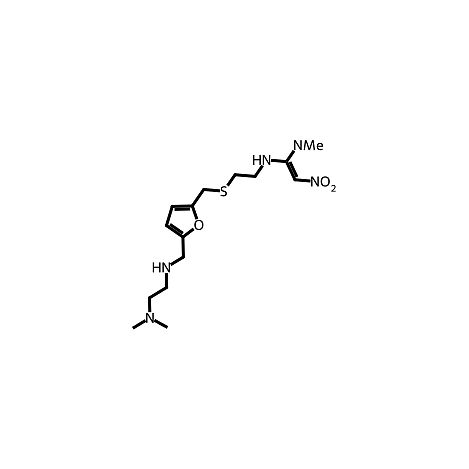 CNC(=C[N+](=O)[O-])NCCSCc1ccc(CNCCN(C)C)o1